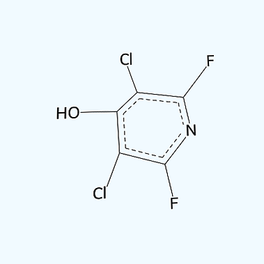 Oc1c(Cl)c(F)nc(F)c1Cl